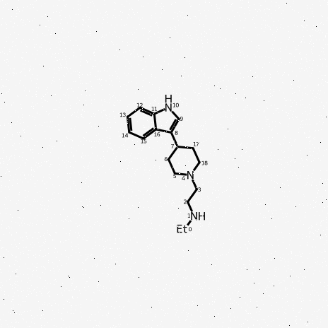 CCNCCN1CCC(c2c[nH]c3ccccc23)CC1